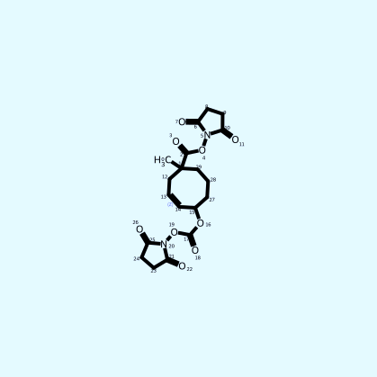 CC1(C(=O)ON2C(=O)CCC2=O)C/C=C\C(OC(=O)ON2C(=O)CCC2=O)CCC1